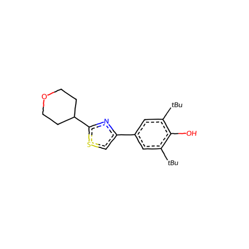 CC(C)(C)c1cc(-c2csc(C3CCOCC3)n2)cc(C(C)(C)C)c1O